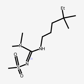 CCC(C)(C)CCCN/C(=N/S(C)(=O)=O)N(C)C